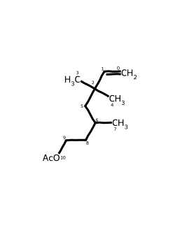 C=CC(C)(C)CC(C)CCOC(C)=O